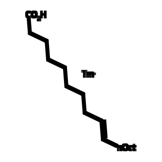 CCCCCCCCC=CCCCCCCCC(=O)O.[Tm]